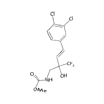 COC(=O)NCC(O)(C=Cc1ccc(Cl)c(Cl)c1)C(F)(F)F